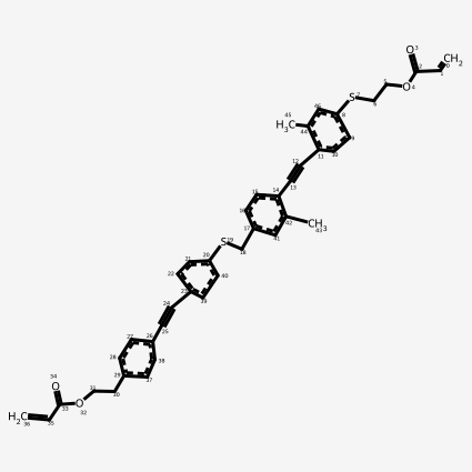 C=CC(=O)OCCSc1ccc(C#Cc2ccc(CSc3ccc(C#Cc4ccc(CCOC(=O)C=C)cc4)cc3)cc2C)c(C)c1